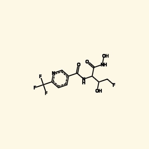 O=C(NC(C(=O)NO)C(O)CF)c1ccc(C(F)(F)F)nc1